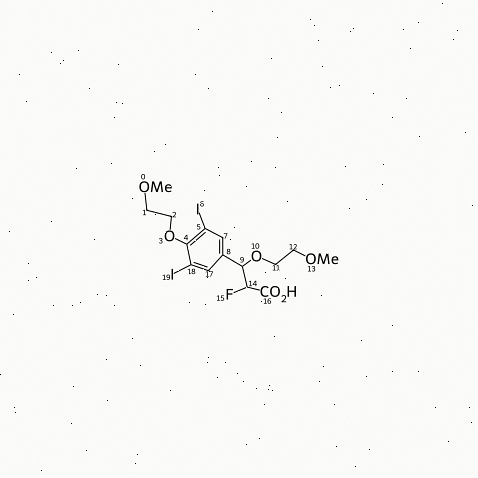 COCCOc1c(I)cc(C(OCCOC)C(F)C(=O)O)cc1I